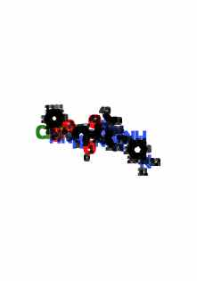 COc1nc(NS(=O)(=O)c2ccccc2Cl)ccc1-c1nc2cnc(NC3CCC(N(C)C)CC3)nc2n(C(C)C)c1=O